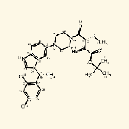 CC[C@H](C(=N)C(=O)OC(C)(C)C)C(=O)N1CCN(c2ccc3ncn([C@H](C)c4ccc(Cl)cc4Cl)c3c2)CC1